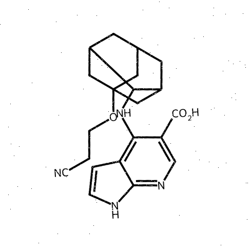 N#CCCOC12CC3CC(C1)C(Nc1c(C(=O)O)cnc4[nH]ccc14)C(C3)C2